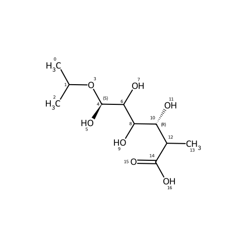 CC(C)O[C@H](O)C(O)C(O)[C@H](O)C(C)C(=O)O